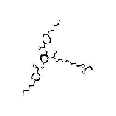 C=C(F)C(=O)OCCCCCCOC(=O)c1cc(OC(=O)C2CCC(CCCCC)CC2)ccc1OC(=O)C1CCC(CCCCC)CC1